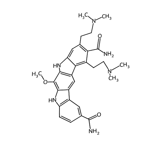 COc1c2[nH]c3ccc(C(N)=O)cc3c2cc2c1[nH]c1cc(CCN(C)C)c(C(N)=O)c(CCN(C)C)c12